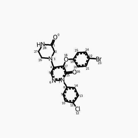 O=C1CN(c2cnn(-c3ccc(Cl)cc3)c(=O)c2Oc2ccc(Br)cc2)CCN1